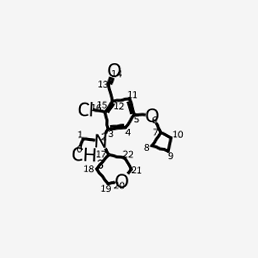 CCN(c1cc(OC2CCC2)cc(C=O)c1Cl)C1CCOCC1